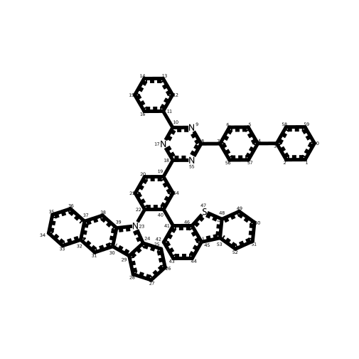 c1ccc(-c2ccc(-c3nc(-c4ccccc4)nc(-c4ccc(-n5c6ccccc6c6cc7ccccc7cc65)c(-c5cccc6c5sc5ccccc56)c4)n3)cc2)cc1